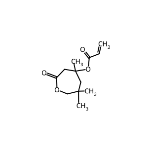 C=CC(=O)OC1(C)CC(=O)OCC(C)(C)C1